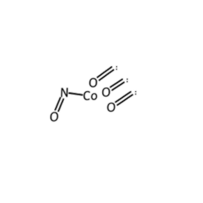 O=[N][Co].[C]=O.[C]=O.[C]=O